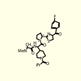 CN[C@@H](C)C(=O)NC(C(=O)N1CCC[C@H]1C1=NC(C(=O)c2ccc(F)cc2)CS1)C1CCN(C(=O)C(C)C)CC1